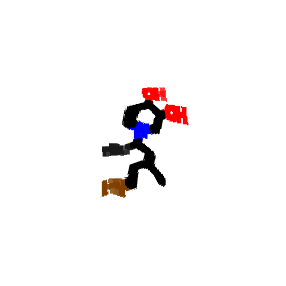 CCCCC(CC(C)CCS)N1CCC(O)C(O)C1